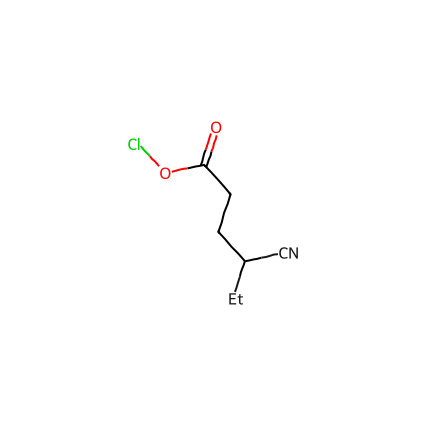 CCC(C#N)CCC(=O)OCl